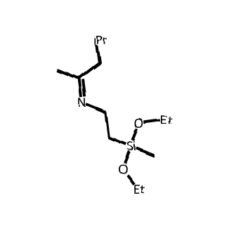 CCO[Si](C)(CCN=C(C)CC(C)C)OCC